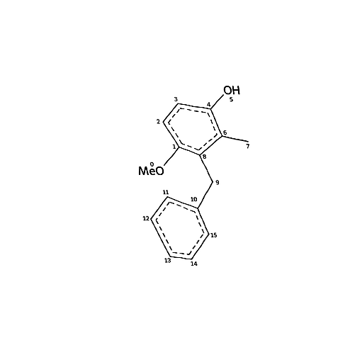 COc1ccc(O)c(C)c1Cc1ccccc1